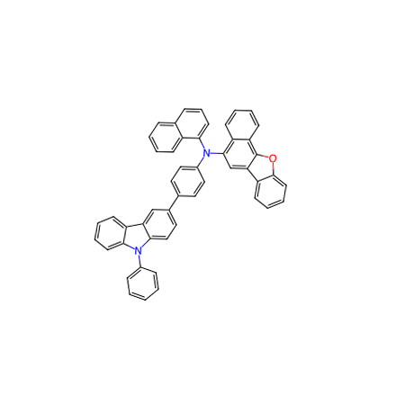 c1ccc(-n2c3ccccc3c3cc(-c4ccc(N(c5cccc6ccccc56)c5cc6c7ccccc7oc6c6ccccc56)cc4)ccc32)cc1